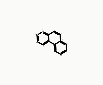 [c]1cc2nnccc2c2ccccc12